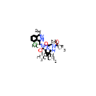 [2H]c1nnc(C(C#N)NC(=O)[C@@H]2[C@@H]3[C@H](CN2C(=O)[C@@H](NC(=O)C(F)(F)F)C(C)(C)C)C3(C)C)c2c(Cl)cccc12